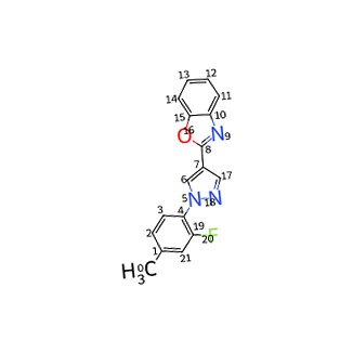 Cc1ccc(-n2cc(-c3nc4ccccc4o3)cn2)c(F)c1